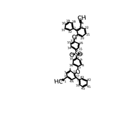 C#Cc1ccc(Oc2ccc(S(=O)(=O)c3ccc(Oc4cccc(C#C)c4-c4ccccc4)cc3)cc2)c(-c2ccccc2)c1